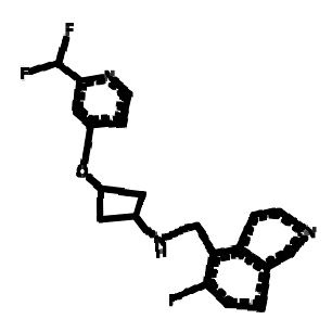 Fc1ccc2cnccc2c1CNC1CC(Oc2ccnc(C(F)F)c2)C1